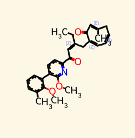 CC/C(=C/C(=O)c1ccc(-c2cccc(C)c2OC)c(OC)n1)C/C1=C/C=C\C/C(C)=C/C1=O